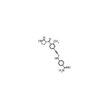 Cc1cc(C#CCNc2ccc(C(=N)N)cc2)ccc1C(=O)C1CCNN1